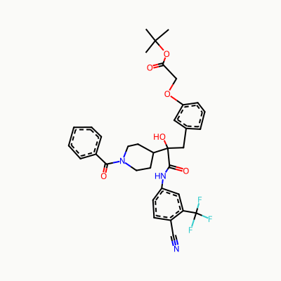 CC(C)(C)OC(=O)COc1cccc(CC(O)(C(=O)Nc2ccc(C#N)c(C(F)(F)F)c2)C2CCN(C(=O)c3ccccc3)CC2)c1